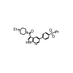 CCN1CCN(C(=O)c2c[nH]c3ncc(-c4ccc(S(=O)(=O)C(C)C)cc4)cc23)CC1